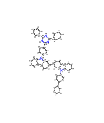 c1ccc(-c2ccc(-n3c4ccccc4c4ccc(-c5ccc6c7ccccc7n(-c7ccc(-c8nc(-c9ccccc9)nc(-c9ccccc9)n8)cc7)c6c5)cc43)cc2)cc1